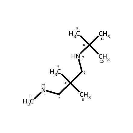 CNCC(C)(C)CNC(C)(C)C